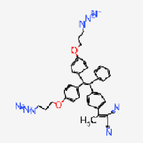 CC(=C(C#N)C#N)c1ccc(C(=C(c2ccc(OCCCN=[N+]=[N-])cc2)c2ccc(OCCCN=[N+]=[N-])cc2)c2ccccc2)cc1